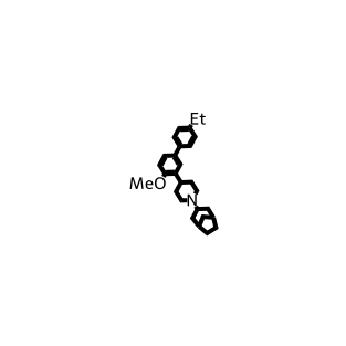 CCc1ccc(-c2ccc(OC)c(C3CCN(C4CC5CCC(C5)C4)CC3)c2)cc1